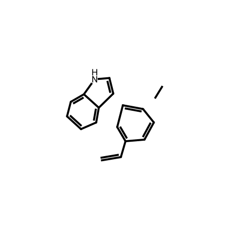 C=Cc1ccccc1.CC.c1ccc2[nH]ccc2c1